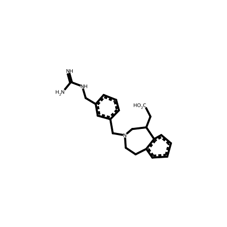 N=C(N)NCc1cccc(CN2CCc3ccccc3C(CC(=O)O)C2)c1